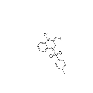 Cc1ccc(S(=O)(=O)N2CC(=CI)[S+]([O-])c3ccccc32)cc1